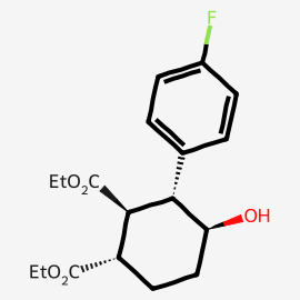 CCOC(=O)[C@H]1[C@H](c2ccc(F)cc2)[C@@H](O)CC[C@@H]1C(=O)OCC